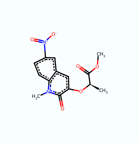 COC(=O)[C@@H](C)Oc1cc2cc([N+](=O)[O-])ccc2n(C)c1=O